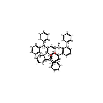 c1ccc(-c2cccc(-c3ccccc3)c2Nc2cc(N(c3ccccc3)c3ccccc3)c3c4ccccc4n(-c4ccccc4)c3c2)cc1